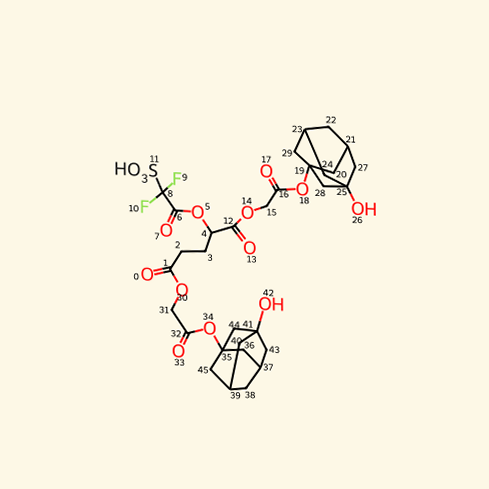 O=C(CCC(OC(=O)C(F)(F)S(=O)(=O)O)C(=O)OCC(=O)OC12CC3CC(CC(O)(C3)C1)C2)OCC(=O)OC12CC3CC(CC(O)(C3)C1)C2